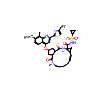 COc1ccc2c(OC3CC4C(=O)NC5(C(=O)NS(=O)(=O)C6CC6)CC5/C=C\CCCCN(C)C(=O)C4C3)cc(-c3nc(C(C)C)cs3)nc2c1C